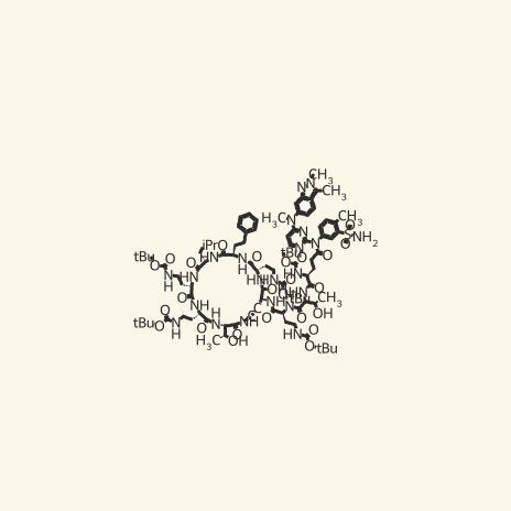 Cc1ccc(N(C(=O)CC[C@H](NC(=O)OC(C)(C)C)C(=O)N[C@H](C(=O)N[C@@H](CCNC(=O)OC(C)(C)C)C(=O)N[C@H]2CCNC(=O)[C@H]([C@@H](C)O)NC(=O)[C@H](CCNC(=O)OC(C)(C)C)NC(=O)[C@H](CCNC(=O)OC(C)(C)C)NC(=O)[C@H](CC(C)C)NC(=O)[C@@H](CCc3ccccc3)NC(=O)[C@H](CCNC(=O)OC(C)(C)C)NC2O)[C@@H](C)O)c2nccc(N(C)c3ccc4c(C)n(C)nc4c3)n2)cc1S(N)(=O)=O